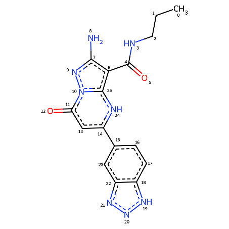 CCCNC(=O)c1c(N)nn2c(=O)cc(-c3ccc4[nH]nnc4c3)[nH]c12